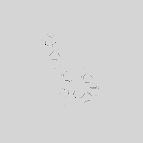 COC[C@@]1(C(=O)Nc2ccc3[nH]nc(-c4ccc(F)nc4)c3c2)CCN(CC(=O)N2CCC(c3ccc(-c4ncccn4)cc3)CC2)C1